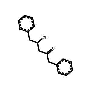 O=C(Cc1ccccc1)CC(O)Cc1ccccc1